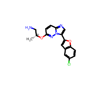 C[C@H](CN)Oc1ccc2ncc(-c3cc4cc(Cl)ccc4o3)n2n1